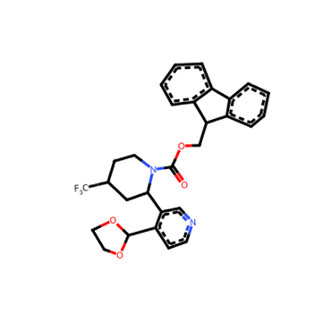 O=C(OCC1c2ccccc2-c2ccccc21)N1CCC(C(F)(F)F)CC1c1cnccc1C1OCCO1